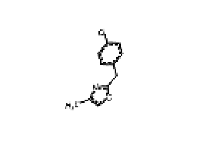 Cc1coc(Cc2ccc(Cl)cc2)n1